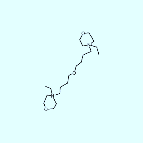 CC[N+]1(CCCCOCCCC[N+]2(CC)CCOCC2)CCOCC1